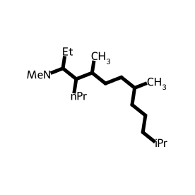 CCCC(C(C)CCC(C)CCCC(C)C)C(CC)NC